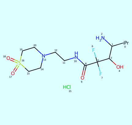 CC(C)C(N)C(O)C(F)(F)C(=O)NCCN1CCS(=O)(=O)CC1.Cl